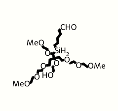 COCCOCCOCCC(CCOCCOCCOC)(OCCO)C(OCCOC)[SiH2]CCCCCC=O